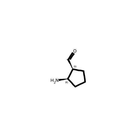 N[C@@H]1CCC[C@@H]1[C]=O